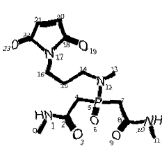 CNC(=O)CP(=O)(CC(=O)NC)N(C)CCCN1C(=O)C=CC1=O